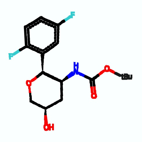 CC(C)(C)OC(=O)N[C@H]1C[C@H](O)CO[C@@H]1c1cc(F)ccc1F